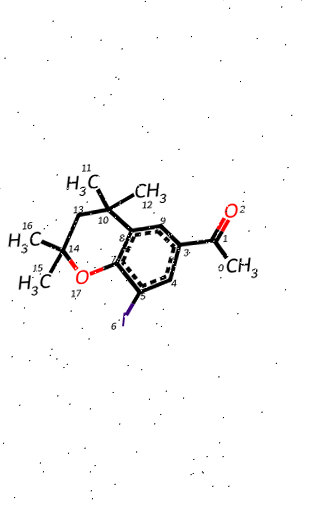 CC(=O)c1cc(I)c2c(c1)C(C)(C)CC(C)(C)O2